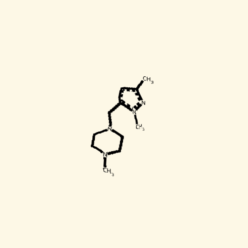 Cc1cc(CN2CCN(C)CC2)n(C)n1